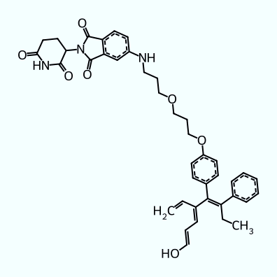 C=CC(=C\C=C\O)/C(=C(\CC)c1ccccc1)c1ccc(OCCCOCCCNc2ccc3c(c2)C(=O)N(C2CCC(=O)NC2=O)C3=O)cc1